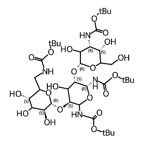 CC(C)(C)OC(=O)NCC1O[C@H](O[C@@H]2C(NC(=O)OC(C)(C)C)O[C@@H](NC(=O)OC(C)(C)C)[C@@H](O[C@H]3OC(CO)[C@@H](O)[C@@H](NC(=O)OC(C)(C)C)C3O)C2O)[C@@H](O)C(O)[C@@H]1O